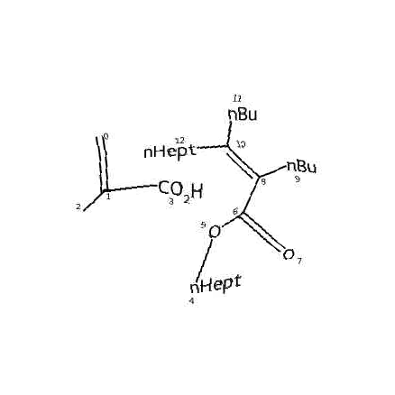 C=C(C)C(=O)O.CCCCCCCOC(=O)C(CCCC)=C(CCCC)CCCCCCC